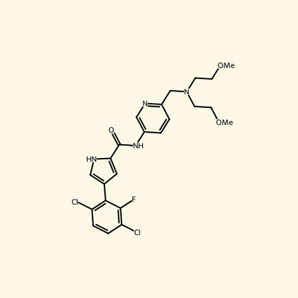 COCCN(CCOC)Cc1ccc(NC(=O)c2cc(-c3c(Cl)ccc(Cl)c3F)c[nH]2)cn1